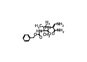 CC(C)[C@](C)(NC(=O)OCc1ccccc1)C(=O)NC(=CN)C(N)=O